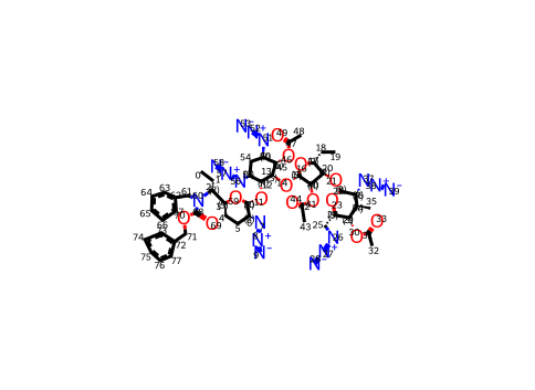 CC[C@H]([C@@H]1CC[C@@H](N=[N+]=[N-])[C@@H](O[C@H]2[C@H](O[C@@H]3O[C@H](CC)[C@@H](O[C@H]4O[C@@H](CN=[N+]=[N-])[C@@H](OC(C)=O)[C@H](C)[C@H]4N=[N+]=[N-])[C@H]3OC(C)=O)[C@@H](OC(C)=O)[C@H](N=[N+]=[N-])C[C@@H]2N=[N+]=[N-])O1)N(Cc1ccccc1)C(=O)OCc1ccccc1